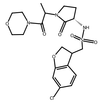 CC(C(=O)N1CCOCC1)N1CC[C@H](NS(=O)(=O)CC2COc3cc(Cl)ccc32)C1=O